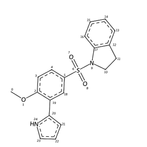 COc1ccc(S(=O)(=O)N2CCc3ccccc32)cc1-c1ccc[nH]1